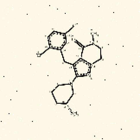 CN1CCn2nc(N3CCC[C@@H](N)C3)c(Cc3cc(F)ccc3Cl)c2C1=O